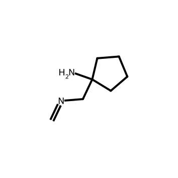 C=NCC1(N)CCCC1